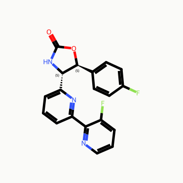 O=C1N[C@@H](c2cccc(-c3ncccc3F)n2)[C@H](c2ccc(F)cc2)O1